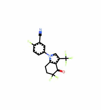 N#Cc1cc(-n2cc(C(F)(F)F)c3c2CCC(F)(F)C3=O)ccc1F